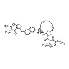 COC(=O)N[C@H](C(=O)N1C[C@@H]2C[C@H]1c1nc(c(-c3ccc4cc(C[C@@H]5CCCN5C(=O)[C@@H](C)C(C)C)ccc4c3)[nH]1)COCCCCO2)C(C)C